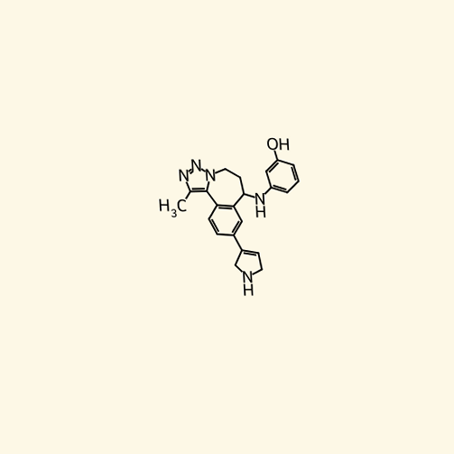 Cc1nnn2c1-c1ccc(C3=CCNC3)cc1C(Nc1cccc(O)c1)CC2